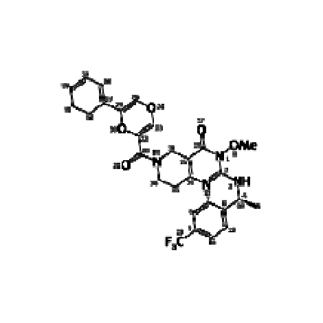 COn1c(N[C@@H](C)c2ccc(C(F)(F)F)cc2)nc2c(c1=O)CN(C(=O)C1=COC=C(C3=CC=CCC3)O1)CC2